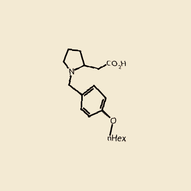 CCCCCCOc1ccc(CN2CCCC2CC(=O)O)cc1